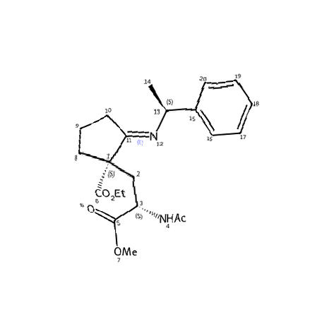 CCOC(=O)[C@]1(C[C@H](NC(C)=O)C(=O)OC)CCC/C1=N\[C@@H](C)c1ccccc1